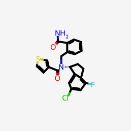 NC(=O)c1ccccc1CN(C(=O)c1ccsc1)[C@@H]1CCc2c(F)cc(Cl)cc21